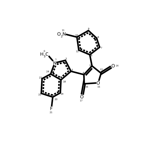 Cn1cc(C2=C(c3cccc([N+](=O)[O-])c3)C(=O)OC2=O)c2cc(F)ccc21